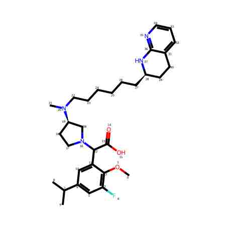 COc1c(F)cc(C(C)C)cc1C(C(=O)O)N1CC[C@@H](N(C)CCCCCC[C@@H]2CCc3cccnc3N2)C1